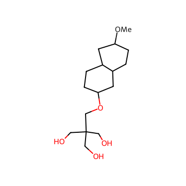 COC1CCC2CC(OCC(CO)(CO)CO)CCC2C1